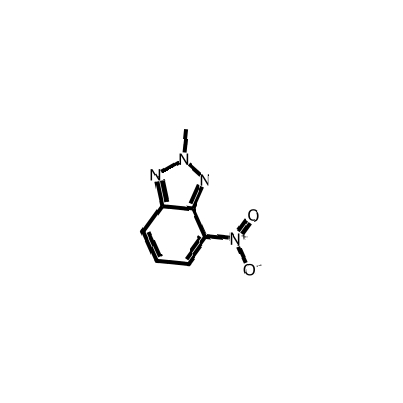 Cn1nc2cccc([N+](=O)[O-])c2n1